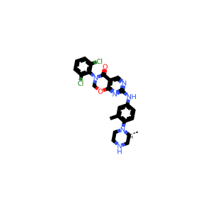 Cc1cc(Nc2ncc3c(n2)OCN(c2c(Cl)cccc2Cl)C3=O)ccc1N1CCNC[C@H]1C